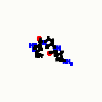 CC(C)c1cc(C(=O)N2CCC(NC(=O)C3CC(N)C3)C2)[nH]n1